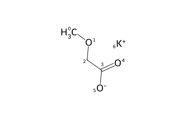 COCC(=O)[O-].[K+]